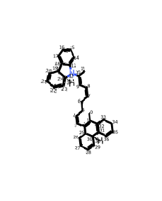 CC1=C(/C=C\CC/C=C\C=C(/C)N2c3ccccc3C3C=CC=C[C@@H]32)C2C=CC=C[C@H]2C2=C1CCC=C2